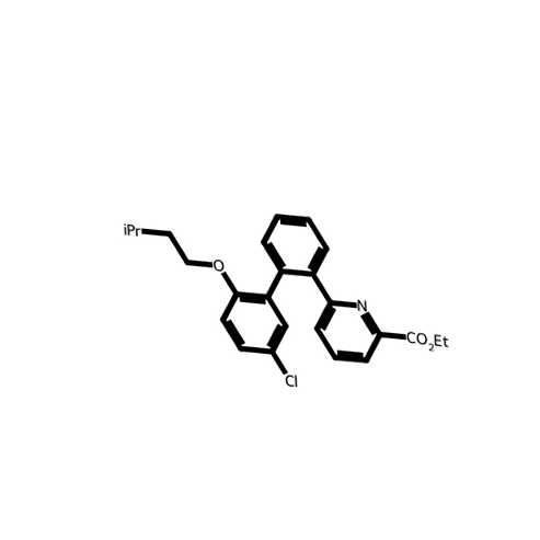 CCOC(=O)c1cccc(-c2ccccc2-c2cc(Cl)ccc2OCCC(C)C)n1